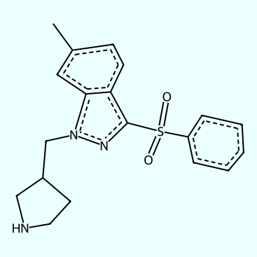 Cc1ccc2c(S(=O)(=O)c3ccccc3)nn(CC3CCNC3)c2c1